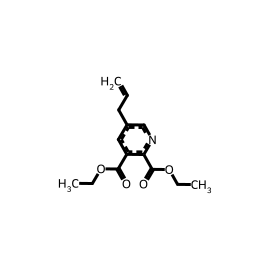 C=CCc1cnc(C(=O)OCC)c(C(=O)OCC)c1